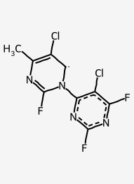 CC1=C(Cl)[CH]N(c2nc(F)nc(F)c2Cl)C(F)=N1